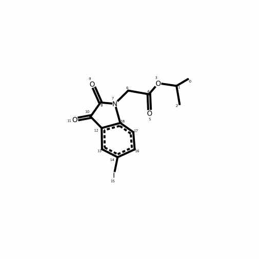 CC(C)OC(=O)CN1C(=O)C(=O)c2cc(I)ccc21